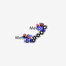 COC(=O)N[C@H](C(=O)NC1(c2nc3ccc(-c4ccc(-c5ccc6c(ccc7nc([C@@H]8CCCN8C(=O)[C@@H](NC(=O)OC)C(C)C)[nH]c76)c5)cc4)cc3[nH]2)CCCCC1)C(C)C